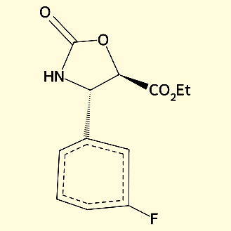 CCOC(=O)[C@@H]1OC(=O)N[C@H]1c1cccc(F)c1